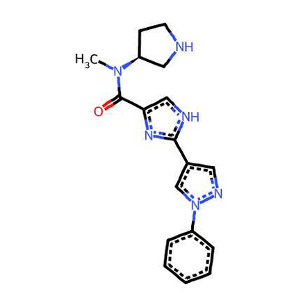 CN(C(=O)c1c[nH]c(-c2cnn(-c3ccccc3)c2)n1)[C@H]1CCNC1